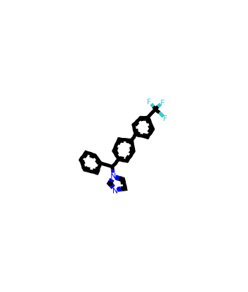 FC(F)(F)c1ccc(-c2ccc(C(c3ccccc3)n3ccnc3)cc2)cc1